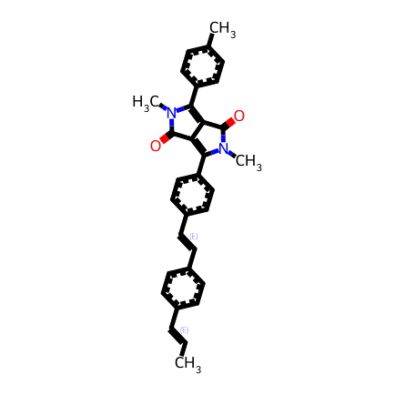 C/C=C/c1ccc(/C=C/c2ccc(C3=C4C(=O)N(C)C(c5ccc(C)cc5)=C4C(=O)N3C)cc2)cc1